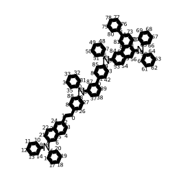 C(=C\c1ccc2cc(N(c3ccccc3)c3ccccc3)ccc2c1)/c1ccc(N(c2ccccc2)c2cccc(-c3ccc(N(c4ccccc4)c4ccc5cc(N(c6ccccc6)c6ccccc6)c6ccc(-c7ccccc7)cc6c5c4)cc3)c2)cc1